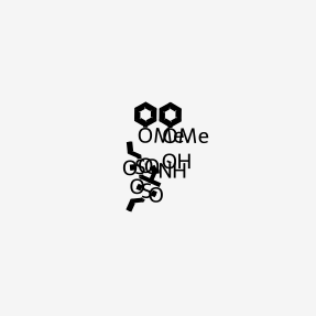 C=CCS(=O)(=O)CC(C)(C(=O)NO)S(=O)(=O)CC=C.COc1ccccc1.COc1ccccc1